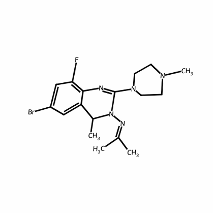 CC(C)=NN1C(N2CCN(C)CC2)=Nc2c(F)cc(Br)cc2C1C